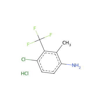 Cc1c(N)ccc(Cl)c1C(F)(F)F.Cl